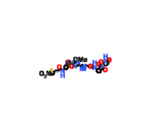 COc1nc(-c2cn(CCOCNc3cccc4c3C(=O)N(C3CCC(=O)NC3=O)C4=O)nn2)cnc1NS(=O)(=O)c1ccc(NC(=O)/C=C/c2ccc([N+](=O)[O-])s2)cc1